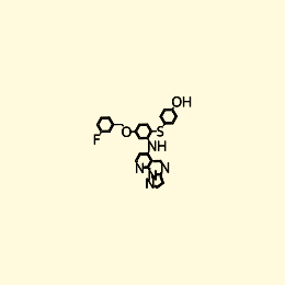 Oc1ccc(Sc2ccc(OCc3cccc(F)c3)cc2Nc2ccnc3c2cnc2ccnn23)cc1